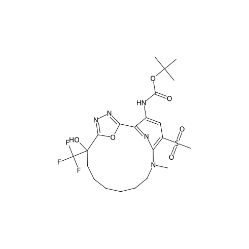 CN1CCCCCCC(O)(C(F)(F)F)c2nnc(o2)-c2nc1c(S(C)(=O)=O)cc2NC(=O)OC(C)(C)C